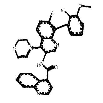 COc1cccc(-c2c(F)ccc3c(N4CCOCC4)c(NC(=O)c4ccnc5ccccc45)cnc23)c1F